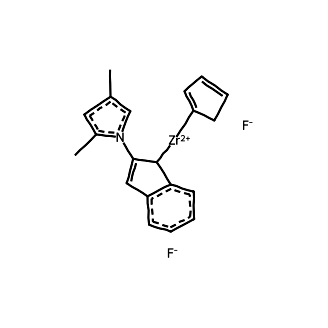 Cc1cc(C)n(C2=Cc3ccccc3[CH]2[Zr+2][C]2=CC=CC2)c1.[F-].[F-]